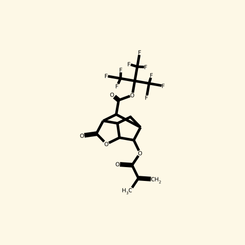 C=C(C)C(=O)OC1C2CC3C1OC(=O)C3C2C(=O)OC(C(F)(F)F)(C(F)(F)F)C(F)(F)F